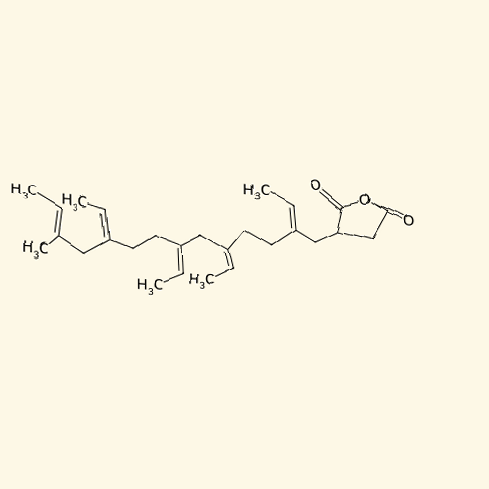 CC=C(C)CC(=CC)CCC(=CC)CC(=CC)CCC(=CC)CC1CC(=O)OC1=O